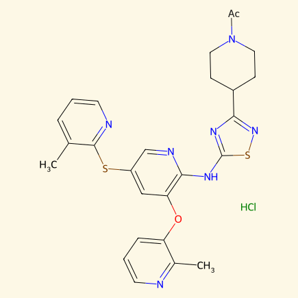 CC(=O)N1CCC(c2nsc(Nc3ncc(Sc4ncccc4C)cc3Oc3cccnc3C)n2)CC1.Cl